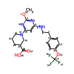 COc1nc(NCCc2ccc(OC(F)(F)F)cc2)cc(N2CCCC(C(=O)O)C2)n1